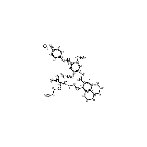 COc1cc(/N=N/c2cc3c4c(c2OCCOP(OCCC#N)N(C(C)C)C(C)C)CCCN4CCC3)c(OC)cc1/N=N/c1ccc([N+](=O)[O-])cc1